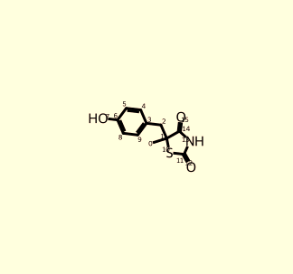 CC1(Cc2ccc(O)cc2)SC(=O)NC1=O